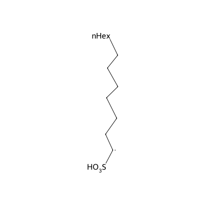 CCCCCCCCCCCC[CH]S(=O)(=O)O